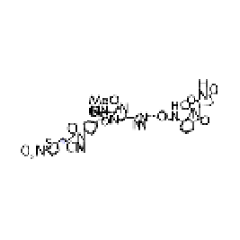 COc1nc(-c2cn(CCOCNc3cccc4c3C(=O)N(C3CCC(=O)NC3=O)C4=O)nn2)cnc1NS(=O)(=O)c1ccc(NC(=O)/C(C#N)=C/c2ccc([N+](=O)[O-])s2)cc1